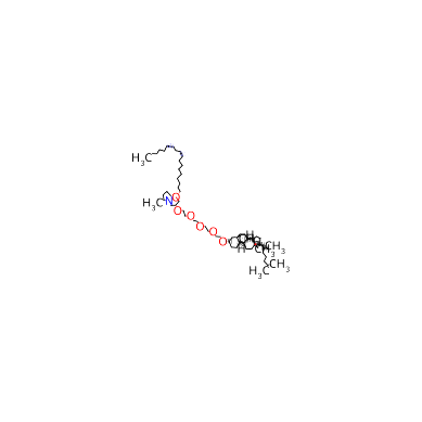 CCCCC/C=C\C/C=C\CCCCCCCCOCC(CN1CCCC1C)OCCOCCOCCOCCO[C@H]1CC[C@@]2(C)C(=CC[C@H]3[C@@H]4CC[C@H]([C@H](C)CCCC(C)C)C4(C)CC[C@@H]32)C1